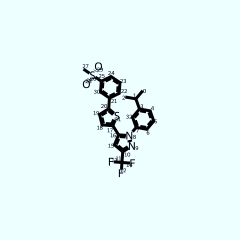 CC(C)c1cccc(-n2nc(C(F)(F)F)cc2-c2ccc(-c3cccc(S(C)(=O)=O)c3)s2)c1